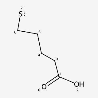 O=C(O)CCCC[Si]